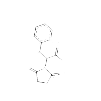 O=C1CCC(=O)N1C(Cc1ccccn1)C(=S)S